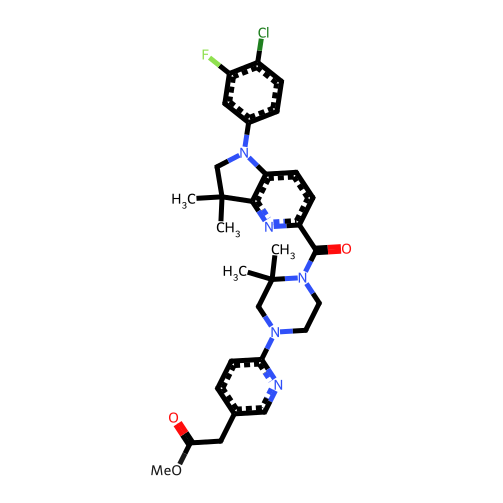 COC(=O)Cc1ccc(N2CCN(C(=O)c3ccc4c(n3)C(C)(C)CN4c3ccc(Cl)c(F)c3)C(C)(C)C2)nc1